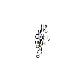 C=Nn1c(C(=O)NNC(=O)CN2CC[S+]([O-])CC2)ccc/c1=N/CNC(=O)C1CC1